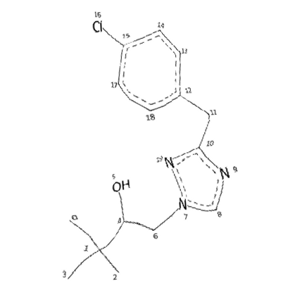 CC(C)(C)C(O)Cn1cnc(Cc2ccc(Cl)cc2)n1